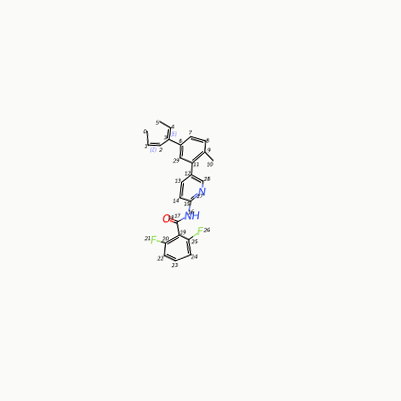 C/C=C\C(=C/C)c1ccc(C)c(-c2ccc(NC(=O)c3c(F)cccc3F)nc2)c1